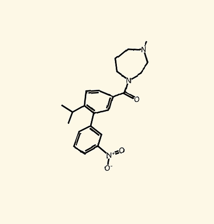 CC(C)c1ccc(C(=O)N2CCCN(C)CC2)cc1-c1cccc([N+](=O)[O-])c1